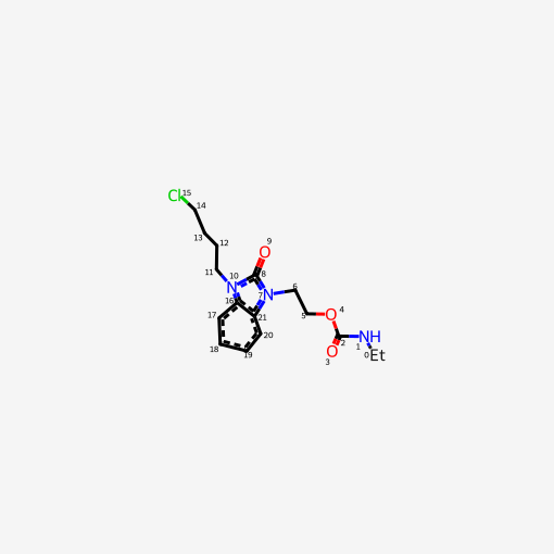 CCNC(=O)OCCn1c(=O)n(CCCCCl)c2ccccc21